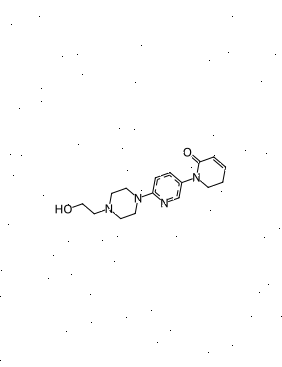 O=C1C=CCCN1c1ccc(N2CCN(CCO)CC2)nc1